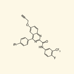 C#CCOc1ccc2nc(C(=O)Nc3ccc(F)c(C(F)(F)F)c3)nc(-c3ccc(C(C)C)cc3)c2c1